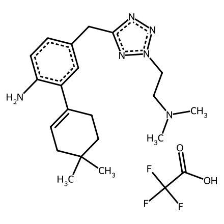 CN(C)CCn1nnc(Cc2ccc(N)c(C3=CCC(C)(C)CC3)c2)n1.O=C(O)C(F)(F)F